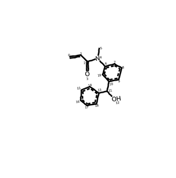 C=CC(=O)N(C)c1cccc(C(O)c2ccccc2)c1